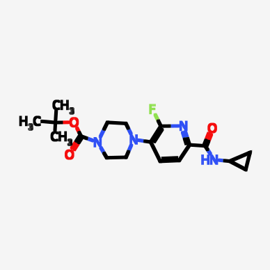 CC(C)(C)OC(=O)N1CCN(c2ccc(C(=O)NC3CC3)nc2F)CC1